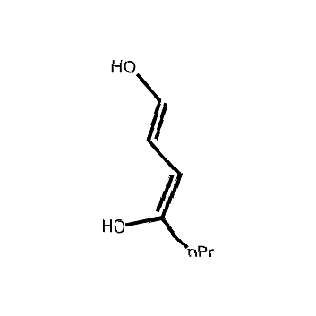 CCCC(O)=CC=CO